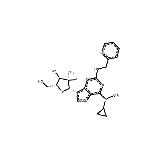 CN(c1nc(NCc2ccccn2)nc2c1ncn2[C@@H]1O[C@H](CO)[C@@H](O)[C@@]1(C)F)C1CC1